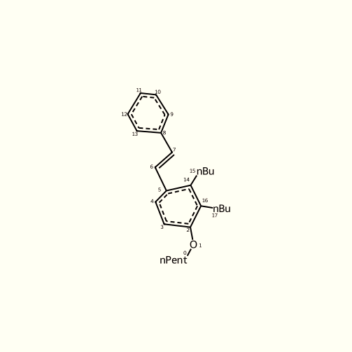 CCCCCOc1ccc(C=Cc2ccccc2)c(CCCC)c1CCCC